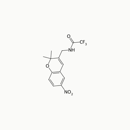 CC1(C)Oc2ccc([N+](=O)[O-])cc2C=C1CNC(=O)C(F)(F)F